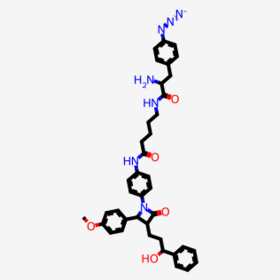 COc1ccc(C2C(CCC(O)c3ccccc3)C(=O)N2c2ccc(NC(=O)CCCCNC(=O)C(N)Cc3ccc(N=[N+]=[N-])cc3)cc2)cc1